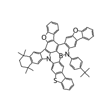 CC(C)(C)c1ccc(N2B3c4cc5c(cc4-n4c6cc7c(cc6c6c8oc9ccccc9c8c(c3c64)-c3cc4oc6ccccc6c4cc32)C(C)(C)CCC7(C)C)sc2ccccc25)cc1